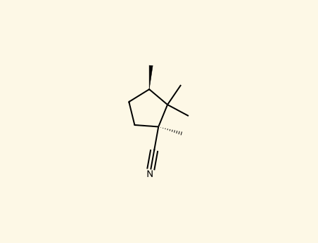 C[C@@H]1CC[C@](C)(C#N)C1(C)C